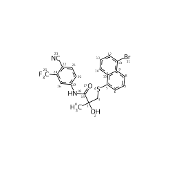 CC(O)(CSc1cccc2c(Br)cccc12)C(=O)Nc1ccc(C#N)c(C(F)(F)F)c1